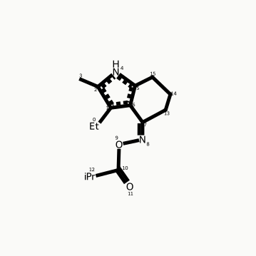 CCc1c(C)[nH]c2c1/C(=N\OC(=O)C(C)C)CCC2